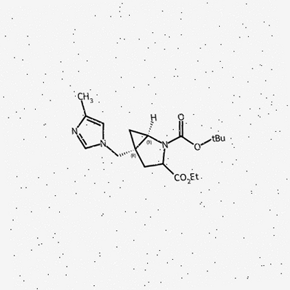 CCOC(=O)C1C[C@@]2(Cn3cnc(C)c3)C[C@H]2N1C(=O)OC(C)(C)C